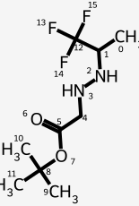 CC(NNCC(=O)OC(C)(C)C)C(F)(F)F